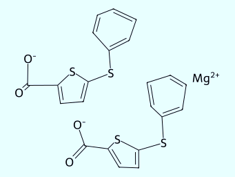 O=C([O-])c1ccc(Sc2ccccc2)s1.O=C([O-])c1ccc(Sc2ccccc2)s1.[Mg+2]